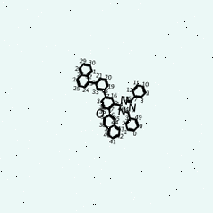 c1ccc(-c2nc(-c3ccccc3)nc(-c3cc(-c4cccc(-c5cccc6ccccc56)c4)cc4oc5cc6ccccc6cc5c34)n2)cc1